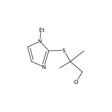 CCn1ccnc1SC(C)(C)C[O]